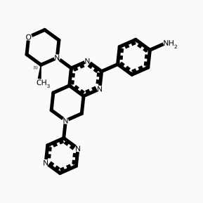 C[C@H]1COCCN1c1nc(-c2ccc(N)cc2)nc2c1CCN(c1cnccn1)C2